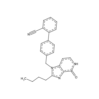 CCCCc1nc2c(=O)[nH]ccc2n1Cc1ccc(-c2ccccc2C#N)cc1